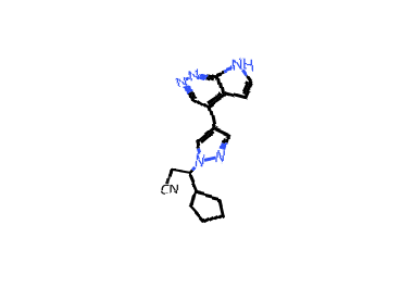 N#CCC(C1CCCC1)n1cc(-c2cnnc3[nH]ccc23)cn1